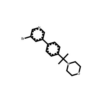 CC(C)(c1ccc(-c2cncc(Br)c2)cc1)N1CCOCC1